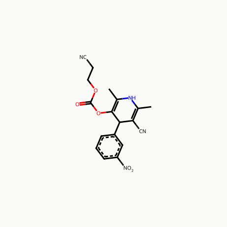 CC1=C(C#N)C(c2cccc([N+](=O)[O-])c2)C(OC(=O)OCCC#N)=C(C)N1